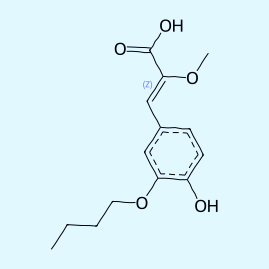 CCCCOc1cc(/C=C(\OC)C(=O)O)ccc1O